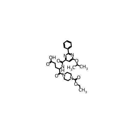 CCOC(=O)N1CCN(C(=O)C(CCC(=O)O)NC(=O)c2cc(OC(C)C)nc(-c3ccccc3)n2)CC1